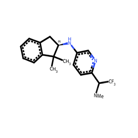 CNC(c1ccc(N[C@@H]2Cc3ccccc3C2(C)C)cn1)C(F)(F)F